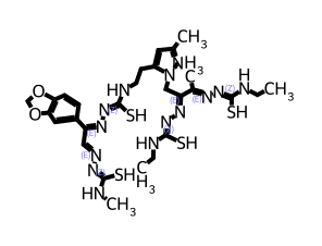 CCN/C(S)=N/N=C(C)/C(Cn1nc(C)cc1CCN/C(S)=N/N=C(/C=N/N=C(\S)NC)c1ccc2c(c1)OCO2)=N/N=C(\S)NCC